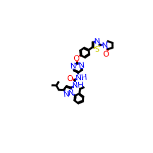 CCc1ccccc1-n1nc(CC(C)C)cc1NC(=O)Nc1cnc(Oc2ccc(-c3cnc(N4CCCC4=O)s3)cc2)nc1